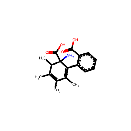 CC1=C(C)C(C)C(N)(C(=O)O)C(c2ccccc2C(=O)O)=C1C